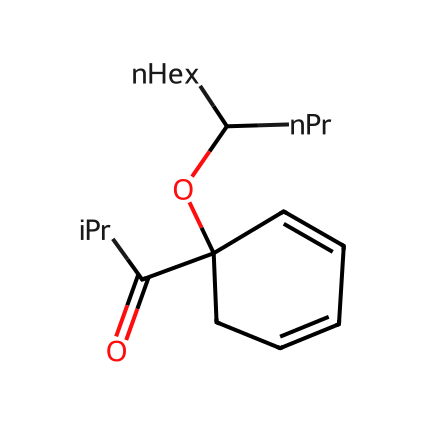 CCCCCCC(CCC)OC1(C(=O)C(C)C)C=CC=CC1